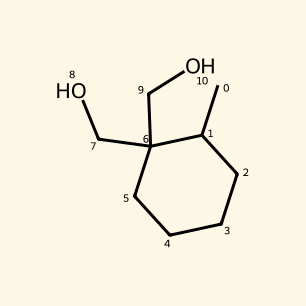 CC1CCCCC1(CO)CO